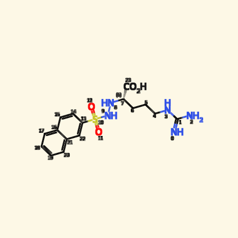 N=C(N)NCCC[C@H](NNS(=O)(=O)c1ccc2ccccc2c1)C(=O)O